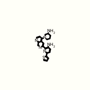 Nc1ccc(-c2cccs2)nc1-c1cc2c(N3CCC[C@H](N)C3)ccnc2cn1